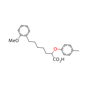 COc1ccccc1CCCCCC(Oc1ccc(C)cc1)C(=O)O